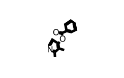 Cc1nccc(OC(=O)c2ccccc2)c1C